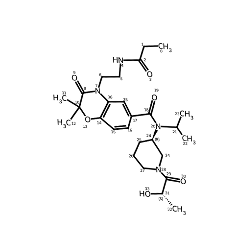 CCC(=O)NCCN1C(=O)C(C)(C)Oc2ccc(C(=O)N(C(C)C)[C@@H]3CCCN(C(=O)[C@H](C)O)C3)cc21